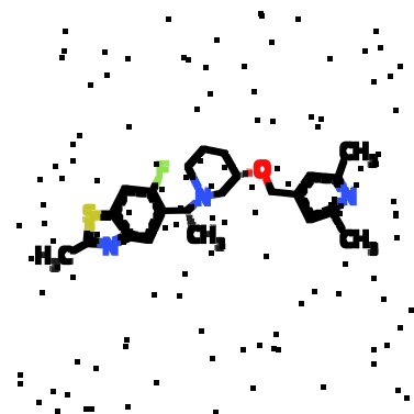 Cc1cc(CO[C@H]2CCCN([C@H](C)c3cc4nc(C)sc4cc3F)C2)cc(C)n1